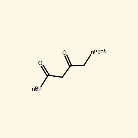 CCCCCCC(=O)CC(=O)CCCC